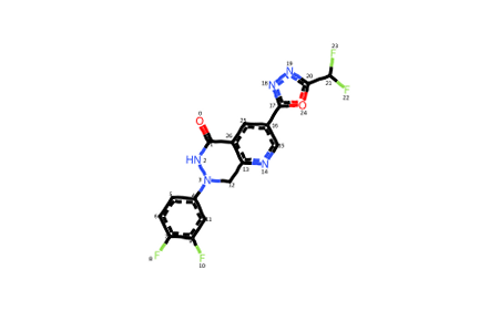 O=C1NN(c2ccc(F)c(F)c2)Cc2ncc(-c3nnc(C(F)F)o3)cc21